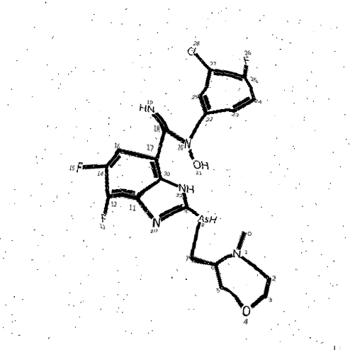 CN1CCOCC1C[AsH]c1nc2c(F)c(F)cc(C(=N)N(O)c3ccc(F)c(Cl)c3)c2[nH]1